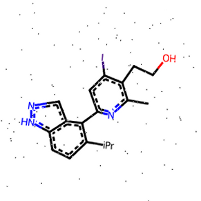 Cc1nc(-c2c(C(C)C)ccc3[nH]ncc23)cc(I)c1CCO